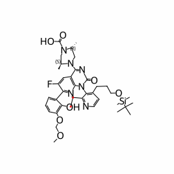 COCOc1cccc(-c2nc3c(cc2F)c(N2C[C@@H](C)N(C(=O)O)C[C@@H]2C)nc(=O)n3-c2c(CCCO[Si](C)(C)C(C)(C)C)ccnc2C(C)C)c1O